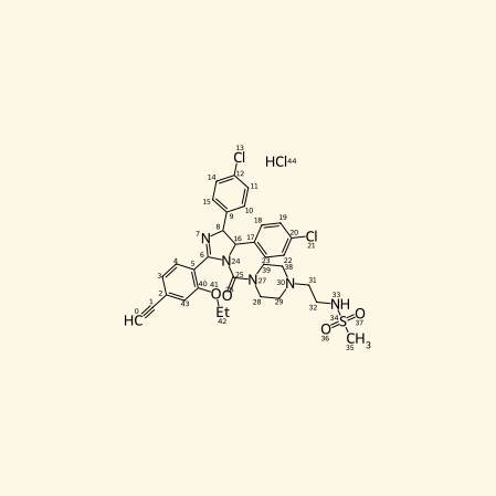 C#Cc1ccc(C2=NC(c3ccc(Cl)cc3)C(c3ccc(Cl)cc3)N2C(=O)N2CCN(CCNS(C)(=O)=O)CC2)c(OCC)c1.Cl